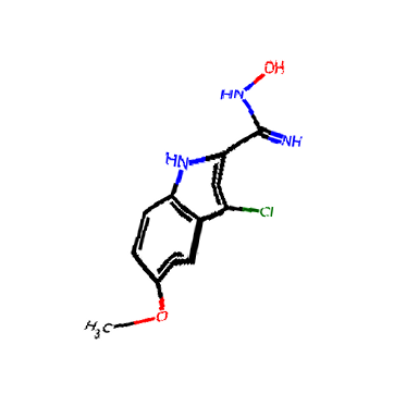 COc1ccc2[nH]c(C(=N)NO)c(Cl)c2c1